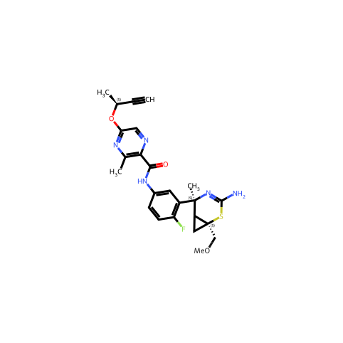 C#C[C@H](C)Oc1cnc(C(=O)Nc2ccc(F)c([C@@]3(C)N=C(N)S[C@@]4(COC)CC43)c2)c(C)n1